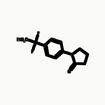 CCOC(=O)C(F)(F)c1ccc(N2CCCC2=O)cc1